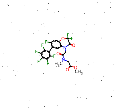 COC(=O)CN(C)C(=O)CN1C(=O)C(F)(F)Oc2cc(F)c(-c3c(F)c(F)c(F)c(F)c3F)cc21